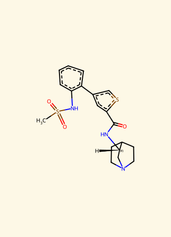 CS(=O)(=O)Nc1ccccc1-c1csc(C(=O)N[C@H]2CN3CCC2CC3)c1